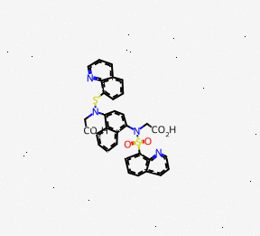 O=C(O)CN(Sc1cccc2cccnc12)c1ccc(N(CC(=O)O)S(=O)(=O)c2cccc3cccnc23)c2ccccc12